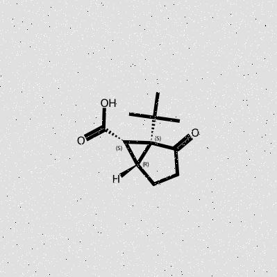 CC(C)(C)[C@]12C(=O)CC[C@@H]1[C@@H]2C(=O)O